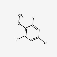 FC(F)(F)Oc1c(Cl)cc(Cl)cc1C(F)(F)F